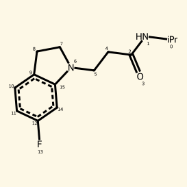 CC(C)NC(=O)CCN1CCc2ccc(F)cc21